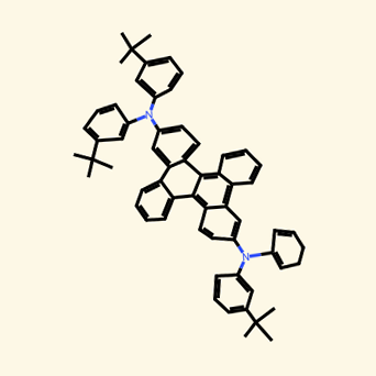 CC(C)(C)c1cccc(N(C2=CCCC=C2)c2ccc3c(c2)c2ccccc2c2c4ccc(N(c5cccc(C(C)(C)C)c5)c5cccc(C(C)(C)C)c5)cc4c4ccccc4c32)c1